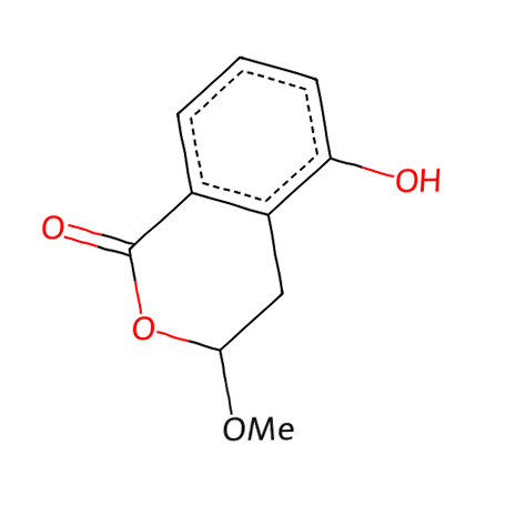 COC1Cc2c(O)cccc2C(=O)O1